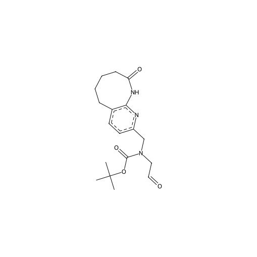 CC(C)(C)OC(=O)N(CC=O)Cc1ccc2c(n1)NC(=O)CCCC2